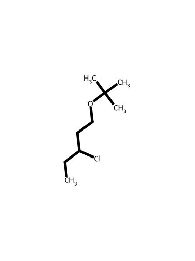 CCC(Cl)CCOC(C)(C)C